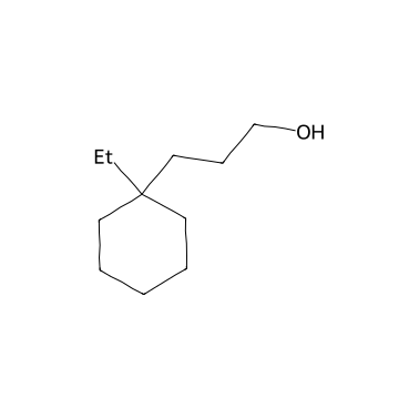 CCC1(CCCO)CCCCC1